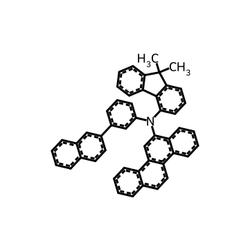 CC1(C)c2ccccc2-c2c(N(c3cccc(-c4ccc5ccccc5c4)c3)c3cc4c5ccccc5ccc4c4ccccc34)cccc21